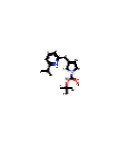 CC(C)c1cccc(CC2CCN(C(=O)OC(C)(C)C)C2)n1